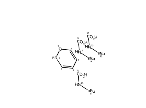 C1=CNOC=C1.CCCCNC(=O)O.CCCCNC(=O)O.CCCCNC(=O)O